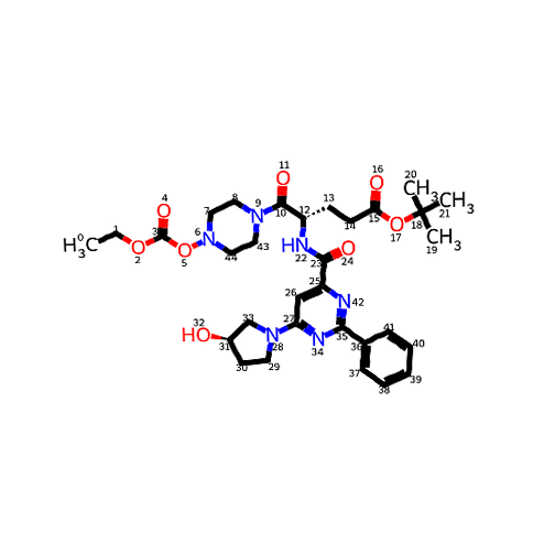 CCOC(=O)ON1CCN(C(=O)[C@H](CCC(=O)OC(C)(C)C)NC(=O)c2cc(N3CC[C@@H](O)C3)nc(-c3ccccc3)n2)CC1